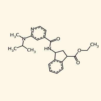 CCOC(=O)C1CC(NC(=O)c2ccnc(N(C)C(C)C)c2)c2ccccc21